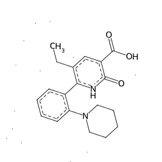 CCc1cc(C(=O)O)c(=O)[nH]c1-c1ccccc1N1CCCCC1